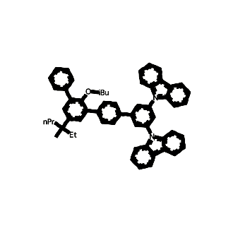 CCCC(C)(CC)c1cc(-c2ccccc2)c(OC(C)CC)c(-c2ccc(-c3cc(-n4c5ccccc5c5ccccc54)cc(-n4c5ccccc5c5ccccc54)c3)cc2)c1